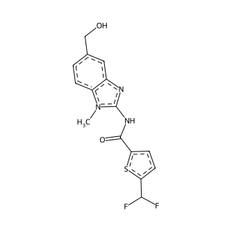 Cn1c(NC(=O)c2ccc(C(F)F)s2)nc2cc(CO)ccc21